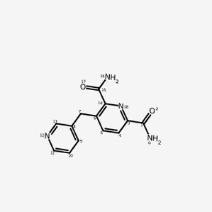 NC(=O)c1ccc(Cc2cccnc2)c(C(N)=O)n1